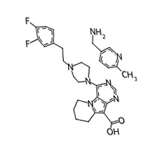 Cc1ccc(CN)cn1.O=C(O)c1c2n(c3c(N4CCN(CCc5ccc(F)c(F)c5)CC4)ncnc13)CCCC2